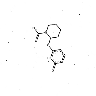 O=C(O)N1CCCCC1Oc1cccc(=O)[nH]1